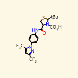 CC(C)(C)C1SCC(C(=O)Nc2ccc(-n3nc(C(F)(F)F)cc3C(F)(F)F)cc2)N1C(=O)O